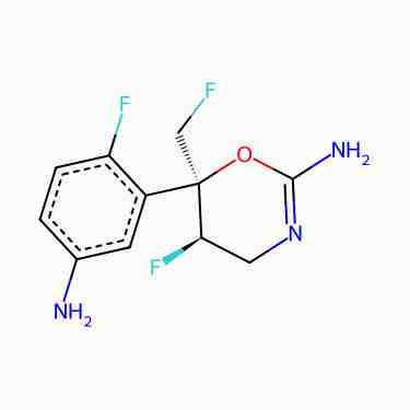 NC1=NC[C@@H](F)[C@@](CF)(c2cc(N)ccc2F)O1